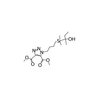 CCC(C)(O)[Si](C)(C)CCCCn1nnc(C(=O)OC)c1C(=O)OC